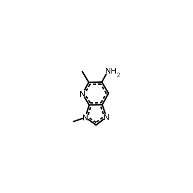 Cc1nc2c(cc1N)ncn2C